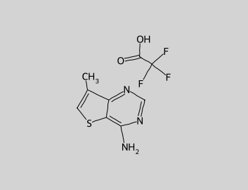 Cc1csc2c(N)ncnc12.O=C(O)C(F)(F)F